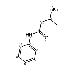 CCCCC(C)NC(=O)Nc1ccccn1